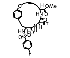 COC(=O)[C@@H]1C/C=C\COc2ccc(cc2)C[C@H](NS(=O)(=O)c2ccc(F)cc2)C(=O)N[C@@H](C(C)C)C(=O)N1